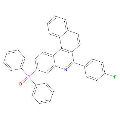 O=P(c1ccccc1)(c1ccccc1)c1ccc2c(c1)nc(-c1ccc(F)cc1)c1ccc3ccccc3c12